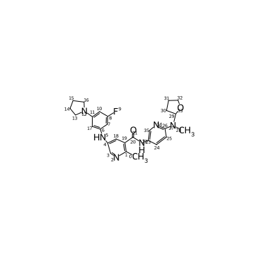 Cc1ncc(Nc2cc(F)cc(N3CCCC3)c2)cc1C(=O)Nc1ccc(N(C)C2CCCO2)nc1